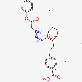 O=C(CN/N=C\C1C2CCC(O2)C1CCc1ccc(C(=O)O)cc1)Oc1ccccc1